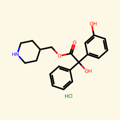 Cl.O=C(OCC1CCNCC1)C(O)(c1ccccc1)c1cccc(O)c1